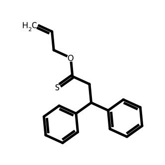 C=CCOC(=S)CC(c1ccccc1)c1ccccc1